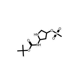 CC(C)(C)OC(=O)NC1CC(OS(C)(=O)=O)CN1